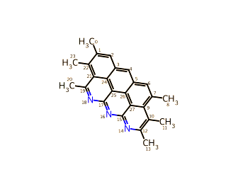 Cc1cc2cc3cc(C)c4c(C)c(C)nc5nc6nc(C)c(c1C)c2c6c3c54